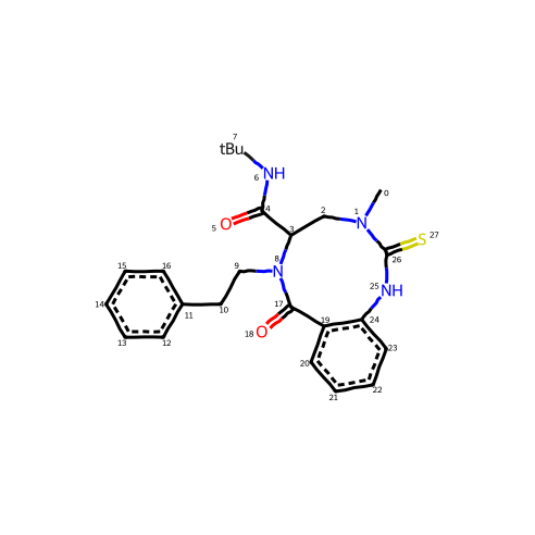 CN1CC(C(=O)NC(C)(C)C)N(CCc2ccccc2)C(=O)c2ccccc2NC1=S